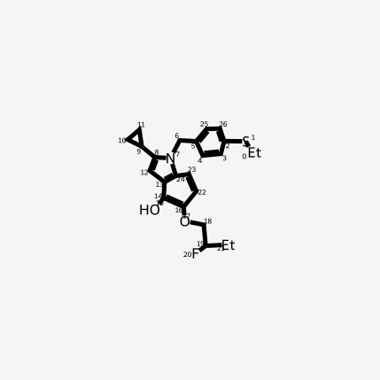 CCSc1ccc(Cn2c(C3CC3)cc3c(O)c(OCC(F)CC)ccc32)cc1